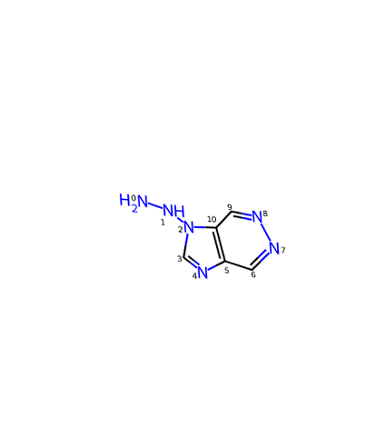 NNn1cnc2cnncc21